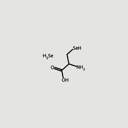 NC(C[SeH])C(=O)O.[SeH2]